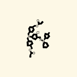 C=CC(=O)OCc1ccc(CN(Cc2ccc(COC(=O)C=C)cc2)c2ccc(C=NN(c3ccccc3)c3ccc(C)cc3)c(Cl)c2)cc1